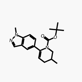 CC1CC=C(c2ccc3c(cnn3C)c2)N(C(=O)OC(C)(C)C)C1